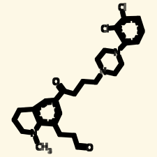 CN1CCCc2cc(C(=O)CCCN3CCN(c4cccc(Cl)c4Cl)CC3)cc(CCC=O)c21